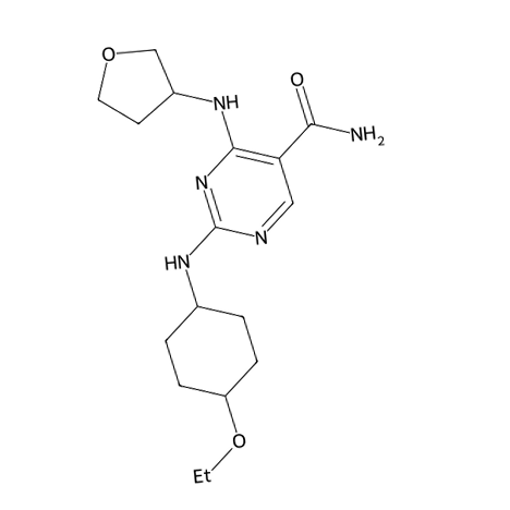 CCOC1CCC(Nc2ncc(C(N)=O)c(NC3CCOC3)n2)CC1